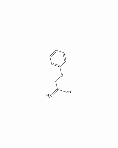 C=[C]([SnH])COc1ccccc1